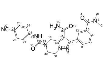 CN(C)C(=O)c1cccc(-c2nn3c(c2C(N)=O)CN(C(=O)Nc2ccc(C#N)cc2)CC3)c1